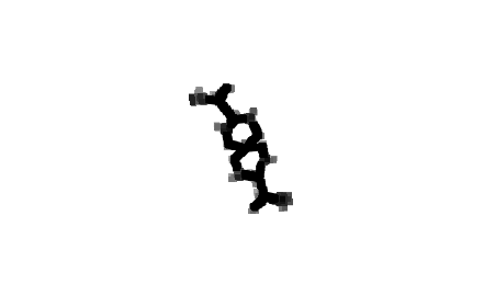 CC(O)C1OCC2(CO1)COC(C(C)O)OC2